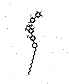 CCCCCCCCCCCCCC1CCC(c2ccc(-c3cc(F)c(C(F)(F)Oc4ccc(-c5cc(F)c(F)c(F)c5)c(F)c4)c(F)c3)c(F)c2)CC1